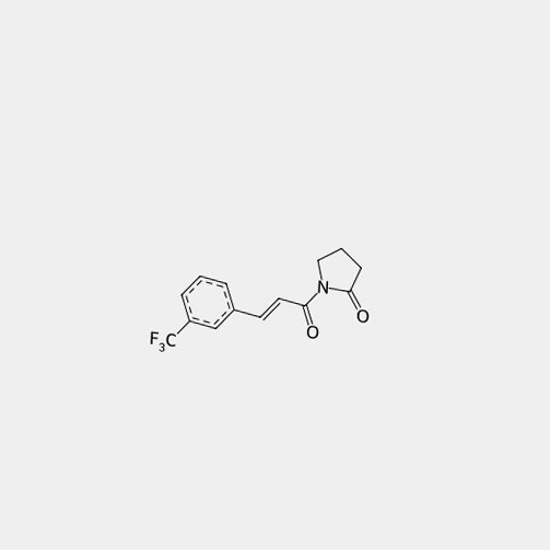 O=C(/C=C/c1cccc(C(F)(F)F)c1)N1CCCC1=O